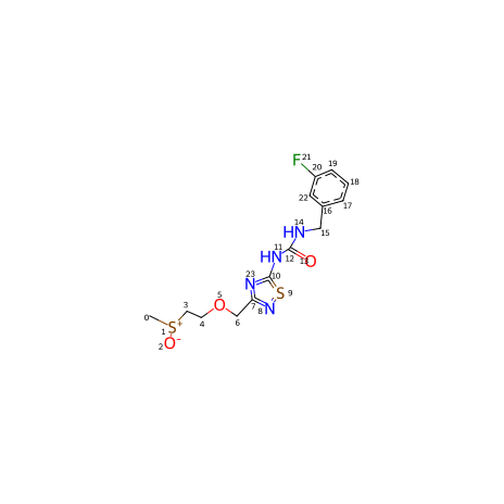 C[S+]([O-])CCOCc1nsc(NC(=O)NCc2cccc(F)c2)n1